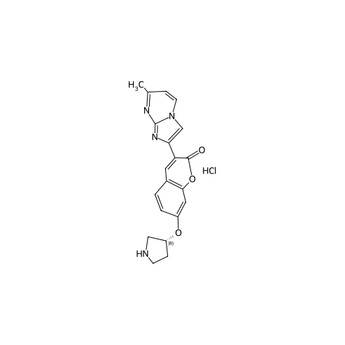 Cc1ccn2cc(-c3cc4ccc(O[C@@H]5CCNC5)cc4oc3=O)nc2n1.Cl